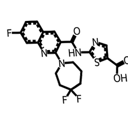 O=C(O)c1cnc(NC(=O)c2cc3ccc(F)cc3nc2N2CCCC(F)(F)CC2)s1